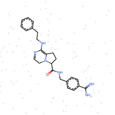 N=C(N)c1ccc(CNC(=O)C2CCC3=C(NCCc4ccccc4)N=CCN32)cc1